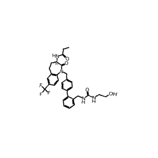 CCC(=O)N[C@@H]1CCc2cc(C(F)(F)F)ccc2N(Cc2ccc(-c3ccccc3CNC(=O)NCCO)cc2)C1=O